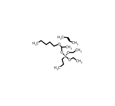 CC=CC.CCCCCOC(C)O[Si](CCC)(OCC)OCC